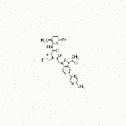 CC(=O)c1nn(CC(=O)N2C[C@H](F)C[C@H]2C(=O)Nc2nc(Br)ccc2C)c2ccc(-c3cnc(C)cn3)cc12